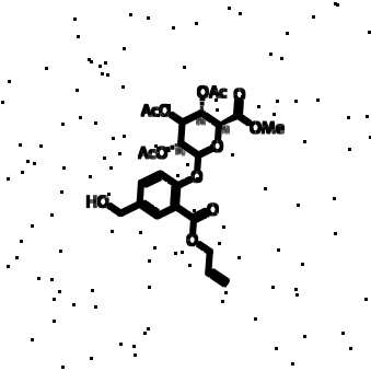 C=CCOC(=O)c1cc(CO)ccc1OC1O[C@H](C(=O)OC)[C@@H](OC(C)=O)C(OC(C)=O)[C@H]1OC(C)=O